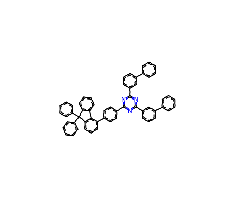 c1ccc(-c2cccc(-c3nc(-c4ccc(-c5cccc6c5-c5ccccc5C6(c5ccccc5)c5ccccc5)cc4)nc(-c4cccc(-c5ccccc5)c4)n3)c2)cc1